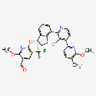 [CH2]c1ccc(-c2ccnc(-c3cccc4c3CC[C@@H]4Oc3nc(OC)c(C=O)cc3C(F)(F)F)c2Cl)nc1OC